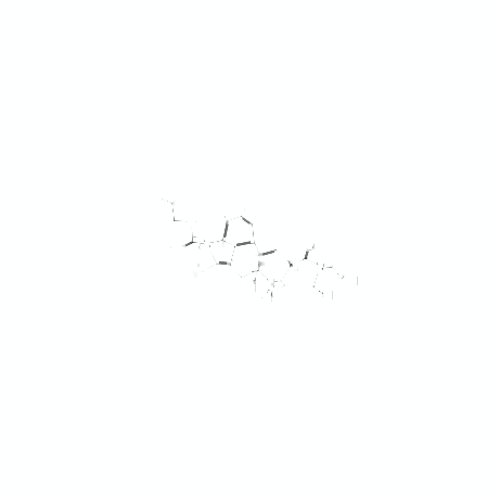 CCCOC(=O)n1c(Br)c2c3c(cccc31)C1=C[C@@H](C(=O)N(CC)CC)CN(C)[C@@H]1C2